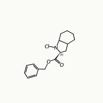 O=C(OCc1ccccc1)[C@@H]1CC2CCCCC2N1Cl